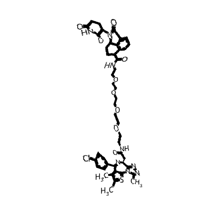 Cc1sc2c(c1C)C(c1ccc(Cl)cc1)=N[C@@H](CC(=O)NCCOCCOCCOCCOCCNC(=O)C1CCC3c4c(cccc41)C(=O)N3C1CCC(=O)NC1=O)c1nnc(C)n1-2